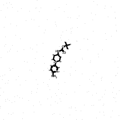 CC(C)(C)OC(=O)NC1CCN(c2ccc(N)nc2)CC1